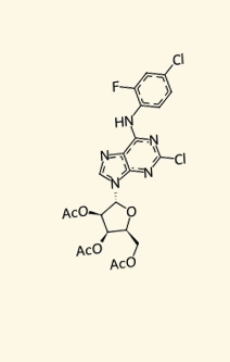 CC(=O)OC[C@@H]1O[C@@H](n2cnc3c(Nc4ccc(Cl)cc4F)nc(Cl)nc32)[C@H](OC(C)=O)[C@@H]1OC(C)=O